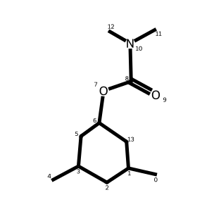 CC1CC(C)CC(OC(=O)N(C)C)C1